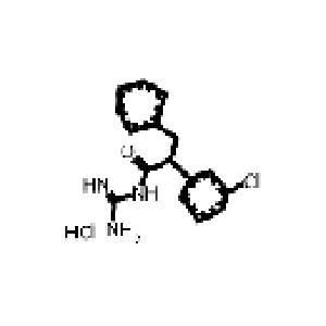 Cl.N=C(N)NC(=O)C(Cc1ccccc1)c1cccc(Cl)c1